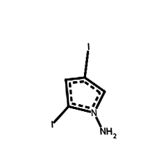 Nn1cc(I)cc1I